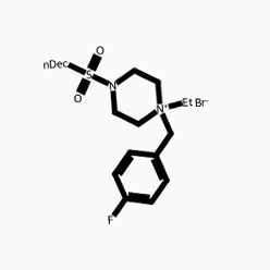 CCCCCCCCCCS(=O)(=O)N1CC[N+](CC)(Cc2ccc(F)cc2)CC1.[Br-]